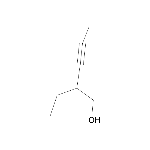 CC#CC(CC)CO